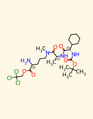 C[C@H](NC(=O)[C@@H](NC(=O)OC(C)(C)C)C1CCCCC1)C(=O)N(C)CCC[C@H](N)C(=O)OCC(Cl)(Cl)Cl